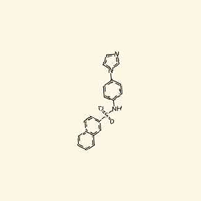 O=S(=O)(Nc1ccc(-n2ccnc2)cc1)c1ccc2ccccc2c1